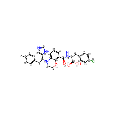 Cc1ccc(CC(c2cnc[nH]2)N2CCOc3c(C(=O)NC(Cc4ccc(Cl)cc4)C(=O)O)cccc32)cc1